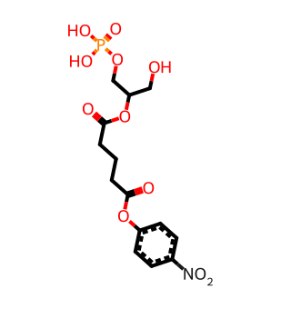 O=C(CCCC(=O)OC(CO)COP(=O)(O)O)Oc1ccc([N+](=O)[O-])cc1